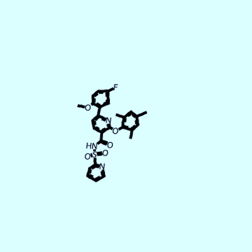 COc1ccc(F)cc1-c1ccc(C(=O)NS(=O)(=O)c2ccccn2)c(Oc2c(C)cc(C)cc2C)n1